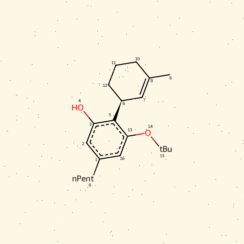 CCCCCc1cc(O)c([C@@H]2C=C(C)CCC2)c(OC(C)(C)C)c1